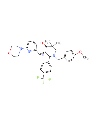 COc1ccc(CN2CC(C)(C)C(=O)/C(=C\c3cccc(N4CCOCC4)n3)C2c2ccc(C(F)(F)F)cc2)cc1